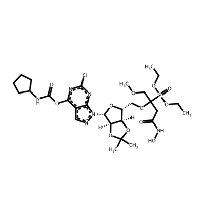 CCOP(=O)(OCC)C(COC)(CC(=O)NO)OC[C@H]1O[C@@H](n2ncc3c(OC(=O)NC4CCCC4)nc(Cl)nc32)[C@@H]2OC(C)(C)O[C@@H]21